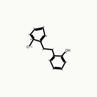 Oc1ccccc1CCc1ccccc1Cl